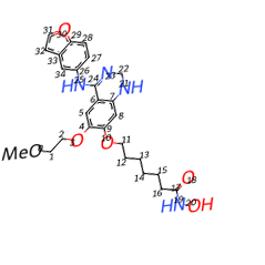 COCCOc1cc2c(cc1OCCCCCCC(=O)NO)NCN=C2Nc1ccc2occc2c1